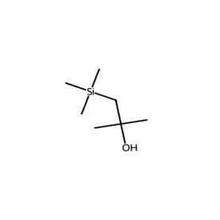 CC(C)(O)C[Si](C)(C)C